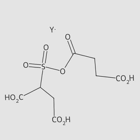 O=C(O)CCC(=O)OS(=O)(=O)C(CC(=O)O)C(=O)O.[Y]